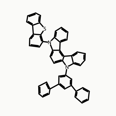 c1ccc(-c2cc(-c3ccccc3)cc(-n3c4ccccc4c4c5c6ccccc6n(-c6cccc7c6sc6ccccc67)c5ccc43)c2)cc1